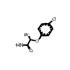 [NH]C(=O)C(Br)Oc1ccc(Cl)cc1